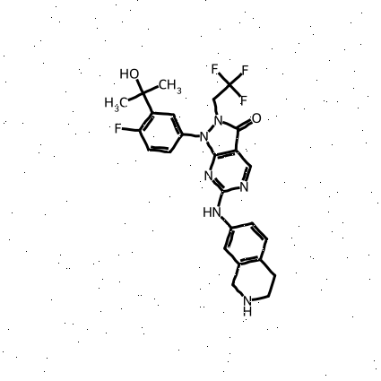 CC(C)(O)c1cc(-n2c3nc(Nc4ccc5c(c4)CNCC5)ncc3c(=O)n2CC(F)(F)F)ccc1F